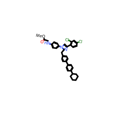 COC(=O)CNc1ccc(-n2cc(-c3ccc(Cl)cc3Cl)nc2Cc2ccc(-c3ccc(C4CCCCC4)cc3)cc2)cc1